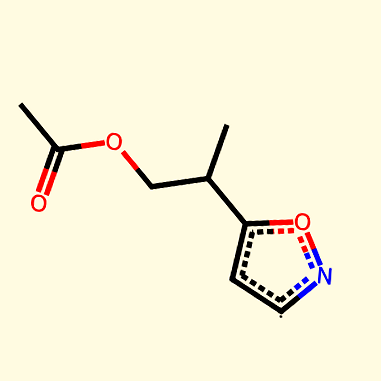 CC(=O)OCC(C)c1c[c]no1